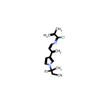 C=C(C)/C(Cl)=N\C=C/C(=C)c1ccn(C(C)(CC)CC#N)c1